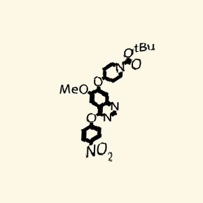 COc1cc2c(Oc3ccc([N+](=O)[O-])cc3)ncnc2cc1OC1CCN(C(=O)OC(C)(C)C)CC1